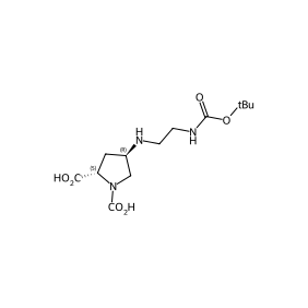 CC(C)(C)OC(=O)NCCN[C@@H]1C[C@@H](C(=O)O)N(C(=O)O)C1